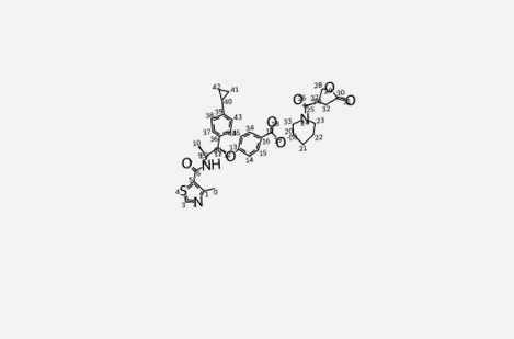 Cc1ncsc1C(=O)N[C@@H](C)[C@H](Oc1ccc(C(=O)O[C@H]2CCCN(C(=O)[C@H]3COC(=O)C3)C2)cc1)c1ccc(C2CC2)cc1